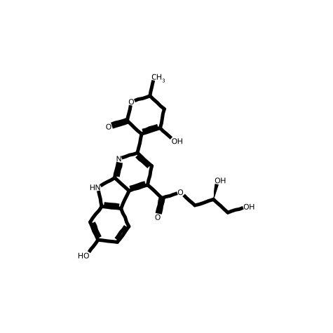 CC1CC(O)=C(c2cc(C(=O)OC[C@@H](O)CO)c3c(n2)[nH]c2cc(O)ccc23)C(=O)O1